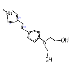 C/C=C(\C=C/NC)/C=C/c1ccc(N(CCO)CCO)cc1